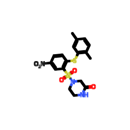 Cc1ccc(C)c(Sc2ccc([N+](=O)[O-])cc2S(=O)(=O)N2CCNC(=O)C2)c1